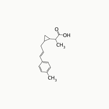 Cc1ccc(C=CCC2CC2C(C)C(=O)O)cc1